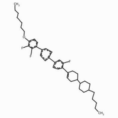 CCCCCCCOc1ccc(-c2ccc(-c3ccc(C4=CCC(C5CCC(CCCCC)CC5)CC4)c(F)c3)cc2)c(F)c1F